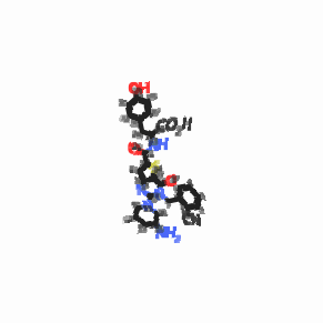 N#Cc1ccccc1Cn1c(N2CCCC(N)C2)nc2cc(C(=O)NC(Cc3ccc(O)cc3)C(=O)O)sc2c1=O